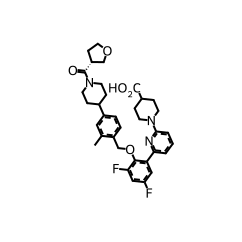 Cc1cc(C2CCN(C(=O)[C@@H]3CCOC3)CC2)ccc1COc1c(F)cc(F)cc1-c1cccc(N2CCC(C(=O)O)CC2)n1